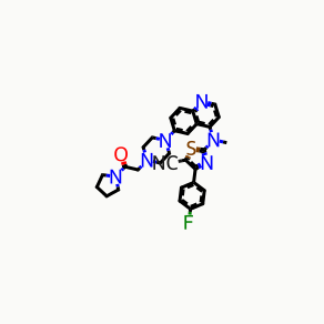 CN(c1nc(-c2ccc(F)cc2)c(C#N)s1)c1ccnc2ccc(N3CCN(CC(=O)N4CCCC4)CC3)cc12